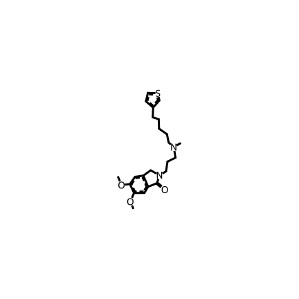 COc1cc2c(cc1OC)C(=O)N(CCCN(C)CCCCCc1ccsc1)C2